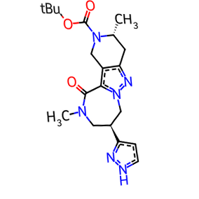 C[C@@H]1Cc2nn3c(c2CN1C(=O)OC(C)(C)C)C(=O)N(C)C[C@H](c1cc[nH]n1)C3